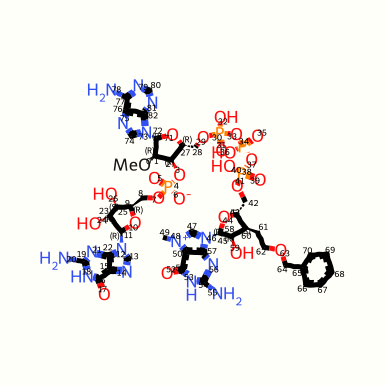 CO[C@@H]1[C@H](OP(=O)([O-])OC[C@H]2O[C@@H](n3cnc4c(=O)[nH]c(N)nc43)[C@H](O)[C@@H]2O)[C@@H](COP(=O)(O)OP(=O)(O)OP(=O)(O)OC[C@H]2O[C@@H](n3c[n+](C)c4c(=O)[nH]c(N)nc43)[C@H](O)[C@@H]2CCOCc2ccccc2)O[C@H]1n1cnc2c(N)ncnc21